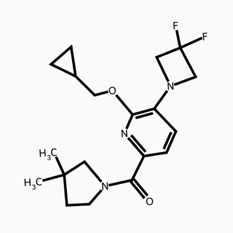 CC1(C)CCN(C(=O)c2ccc(N3CC(F)(F)C3)c(OCC3CC3)n2)C1